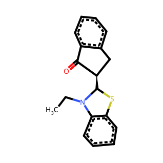 CCN1c2ccccc2SC1[C@@H]1Cc2ccccc2C1=O